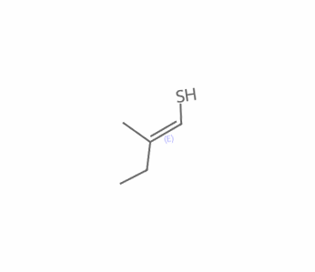 CC/C(C)=C/S